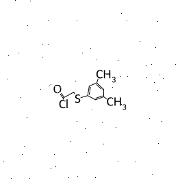 Cc1cc(C)cc(SCC(=O)Cl)c1